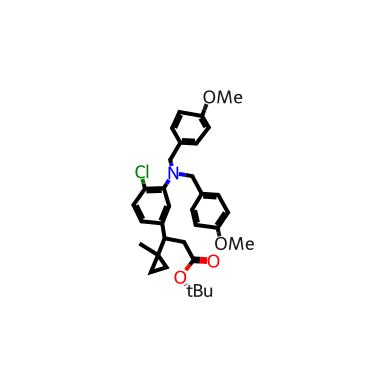 COc1ccc(CN(Cc2ccc(OC)cc2)c2cc(C(CC(=O)OC(C)(C)C)C3(C)CC3)ccc2Cl)cc1